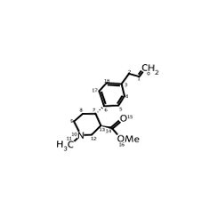 C=CCc1ccc([C@H]2CCN(C)C[C@@H]2C(=O)OC)cc1